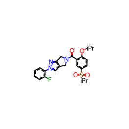 CC(C)Oc1ccc(S(=O)(=O)C(C)C)cc1C(=O)N1Cc2cn(-c3ccccc3F)nc2C1